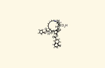 O=C(N[C@H]1CCCCC/C=C\[C@@H]2C[C@@]2(C(=O)O)NC(=O)[C@@H]2C[C@@H](OC(=O)N3CCc4c(F)cccc4C3)CN2C1=O)OC1CCCC1